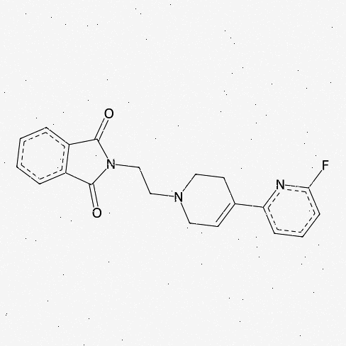 O=C1c2ccccc2C(=O)N1CCN1CC=C(c2cccc(F)n2)CC1